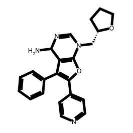 NC1N=CN(C[C@@H]2CCCO2)c2oc(-c3ccncc3)c(-c3ccccc3)c21